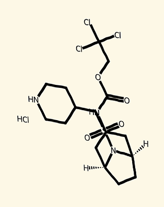 Cl.O=C(NC1C[C@H]2CC[C@@H](C1)N2S(=O)(=O)CC1CCNCC1)OCC(Cl)(Cl)Cl